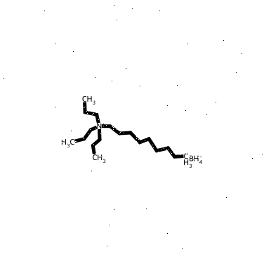 CCCCCCCCC[N+](CCC)(CCC)CCC.[BH4-]